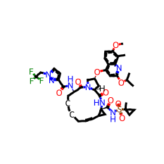 COc1ccc2c(O[C@@H]3C[C@H]4C(=O)N[C@]5(C(=O)NS(=O)(=O)C6(C)CC6)CC5/C=C\CCCCC[C@H](NC(=O)c5ccn(CC(F)(F)F)n5)C(=O)N4C3)cc(OC(C)C)nc2c1C